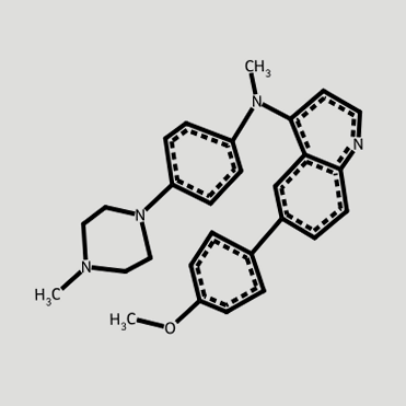 COc1ccc(-c2ccc3nccc(N(C)c4ccc(N5CCN(C)CC5)cc4)c3c2)cc1